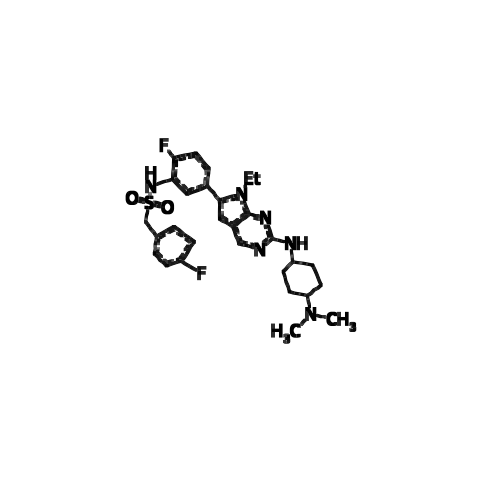 CCn1c(-c2ccc(F)c(NS(=O)(=O)Cc3ccc(F)cc3)c2)cc2cnc(NC3CCC(N(C)C)CC3)nc21